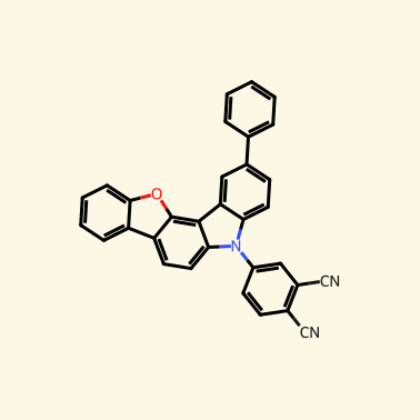 N#Cc1ccc(-n2c3ccc(-c4ccccc4)cc3c3c4oc5ccccc5c4ccc32)cc1C#N